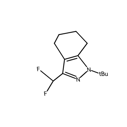 CC(C)(C)n1nc(C(F)F)c2c1CCCC2